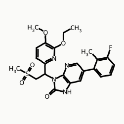 CCOc1nc(C(CS(C)(=O)=O)n2c(=O)[nH]c3cc(-c4cccc(F)c4C)cnc32)ccc1OC